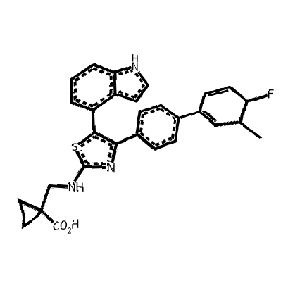 CC1C=C(c2ccc(-c3nc(NCC4(C(=O)O)CC4)sc3-c3cccc4[nH]ccc34)cc2)C=CC1F